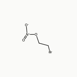 O=[N+]([O-])OCCBr